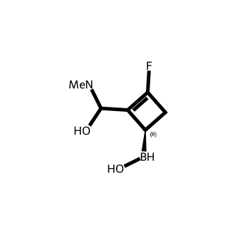 CNC(O)C1=C(F)C[C@H]1BO